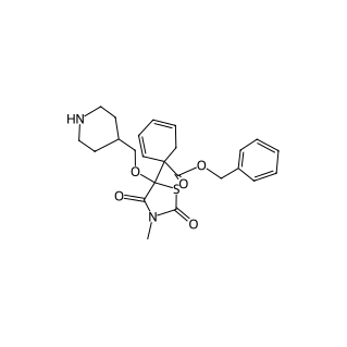 CN1C(=O)SC(OCC2CCNCC2)(C2(C(=O)OCc3ccccc3)C=CC=CC2)C1=O